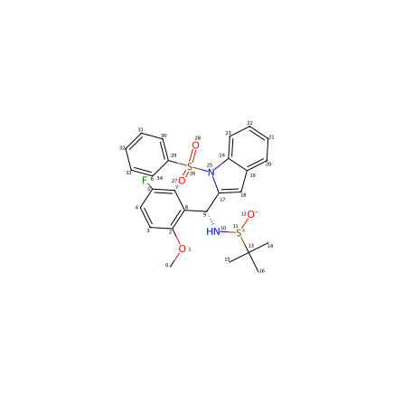 COc1ccc(F)cc1[C@@H](N[S+]([O-])C(C)(C)C)c1cc2ccccc2n1S(=O)(=O)c1ccccc1